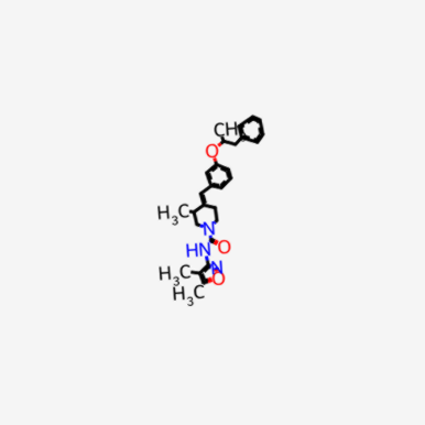 Cc1onc(NC(=O)N2CC/C(=C\c3cccc(OC(C)Cc4ccccc4)c3)C(C)C2)c1C